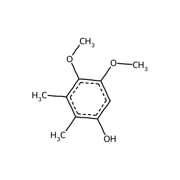 COc1cc(O)c(C)c(C)c1OC